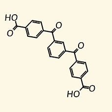 O=C(O)c1ccc(C(=O)c2cccc(C(=O)c3ccc(C(=O)O)cc3)c2)cc1